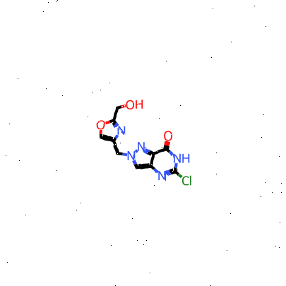 O=c1[nH]c(Cl)nc2cn(Cc3coc(CO)n3)nc12